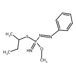 CCC(C)SP(=N)(N=Nc1ccccc1)OC